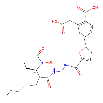 CCCCCC(C(=O)NCNC(=O)c1ccc(-c2ccc(C(=O)O)c(CC(=O)O)c2)o1)[C@@H](CC)N(O)C=O